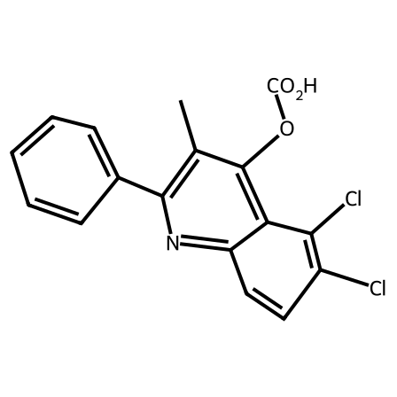 Cc1c(-c2ccccc2)nc2ccc(Cl)c(Cl)c2c1OC(=O)O